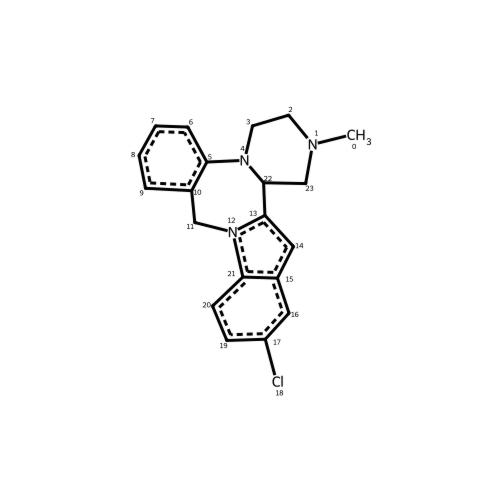 CN1CCN2c3ccccc3Cn3c(cc4cc(Cl)ccc43)C2C1